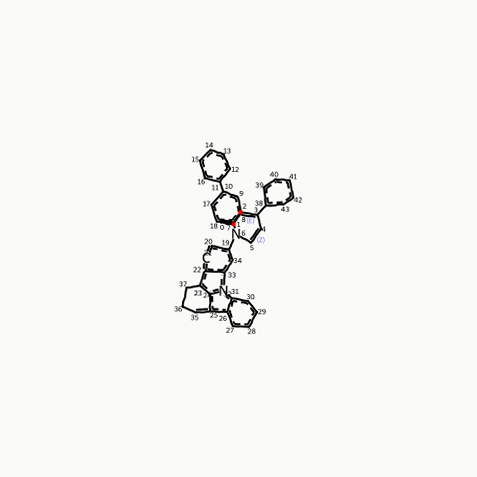 C=C/C=C(\C=C/N(c1ccc(-c2ccccc2)cc1)c1ccc2c3c4c(c5ccccc5n4c2c1)=CCC3)c1ccccc1